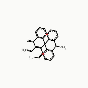 C=CC1=C(/C=C\C)C2(c3ccccc3C1=O)c1ccccc1N(N)c1ccccc12